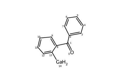 O=C(c1ccccc1)c1cccc[c]1[GaH2]